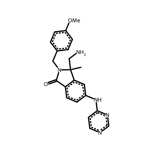 COc1ccc(CN2C(=O)c3ccc(Nc4ccncn4)cc3C2(C)CN)cc1